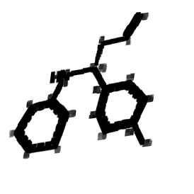 C=CC[C@@H](Nc1ccccc1)c1ccc(C)cc1